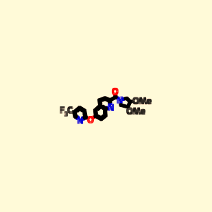 COC1CN(C(=O)c2ccc3cc(Oc4ccc(C(F)(F)F)cn4)ccc3n2)CC1OC